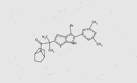 Cc1cc(C)cc(-c2[nH]c3sc(C(C)(C)C(=O)N4C5CCC4CC5)cc3c2C(C)C)c1